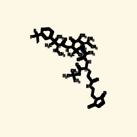 CN[C@H](C(=O)NC(C(=O)N(C)[C@H](/C=C(\C)C(=O)N[C@H](CCC(=O)NCCN1C(=O)C=CC1=O)C(=O)OC(C)(C)C)C(C)C)C(C)(C)C)C(C)(C)c1cccc(C(F)(F)F)c1